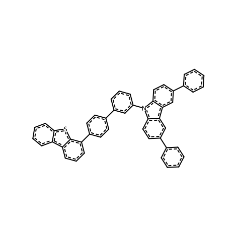 c1ccc(-c2ccc3c(c2)c2cc(-c4ccccc4)ccc2n3-c2cccc(-c3ccc(-c4cccc5c4sc4ccccc45)cc3)c2)cc1